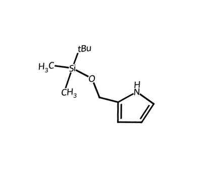 CC(C)(C)[Si](C)(C)OCc1ccc[nH]1